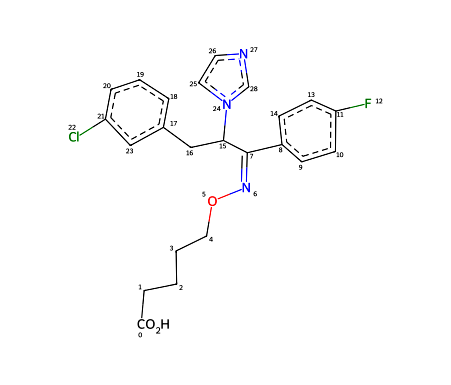 O=C(O)CCCCON=C(c1ccc(F)cc1)C(Cc1cccc(Cl)c1)n1ccnc1